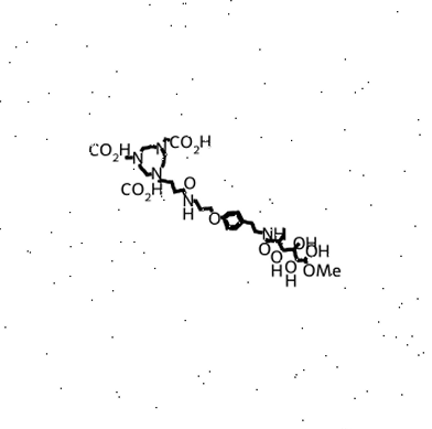 COC(O)C(O)C(O)C(O)C(I)C(=O)NCCc1ccc(OCCCNC(=O)CCC(C(=O)O)N2CCN(CC(=O)O)CCN(CC(=O)O)CC2)cc1